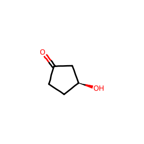 O=C1CC[C@H](O)C1